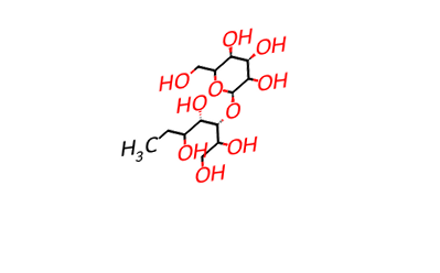 CCC(O)[C@H](O)[C@H](O[C@H]1OC(CO)[C@@H](O)[C@@H](O)C1O)C(O)CO